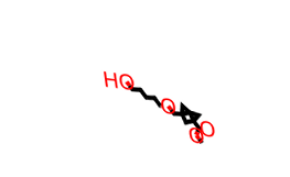 COC(=O)C12CC3(COCCCCCO)CC31C2